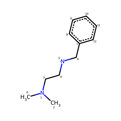 CN(C)CC[N]Cc1ccccc1